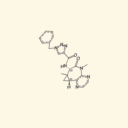 CN1C(=O)[C@@H](NC(=O)c2cn(Cc3ccccc3)nn2)C2(C)C[C@H]2c2nccnc21